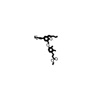 CCCc1cc2cc(C#C[Si](C)(C)C)cc(COc3ccc(CCC(=O)OCC)c(C)c3C)c2o1